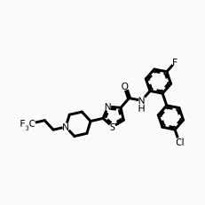 O=C(Nc1ccc(F)cc1-c1ccc(Cl)cc1)c1csc(C2CCN(CCC(F)(F)F)CC2)n1